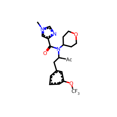 CC(=O)C(Cc1cccc(OC(F)(F)F)c1)N(C(=O)c1cn(C)cn1)C1CCOCC1